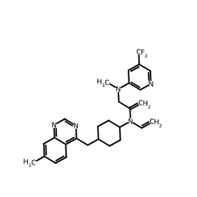 C=CN(C(=C)CN(C)c1cncc(C(F)(F)F)c1)C1CCC(Cc2ncnc3cc(C)ccc23)CC1